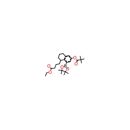 CCOC(=O)CCCC1CCCc2cc(OC(=O)C(C)(C)C)cc(B3OC(C)(C)C(C)(C)O3)c21